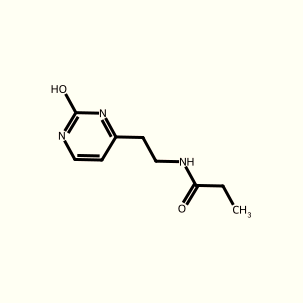 CCC(=O)NCCc1ccnc(O)n1